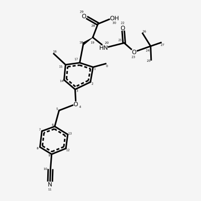 Cc1cc(OCc2ccc(C#N)cc2)cc(C)c1C[C@H](NC(=O)OC(C)(C)C)C(=O)O